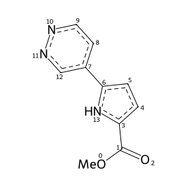 COC(=O)c1ccc(-c2ccnnc2)[nH]1